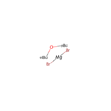 CCCCOCCCC.[Br][Mg][Br]